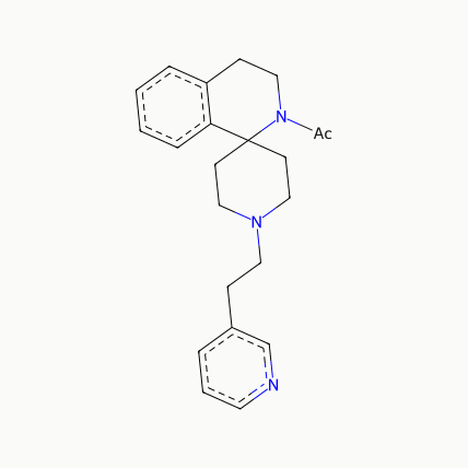 CC(=O)N1CCc2ccccc2C12CCN(CCc1cccnc1)CC2